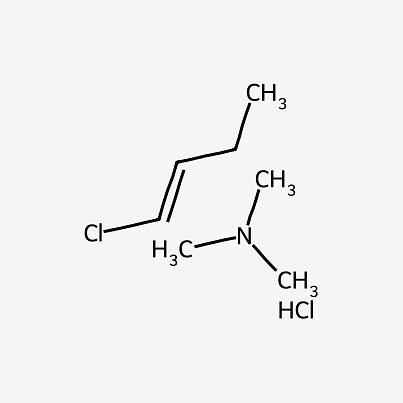 CCC=CCl.CN(C)C.Cl